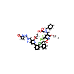 COc1nc(-c2cccc(-c3cccc4c3CCC4Oc3nc(OC)c(CN(CC(=O)O)CC4CCCCC4)cc3C(F)(F)F)c2Cl)ccc1CNC[C@@H]1CCC(=O)N1